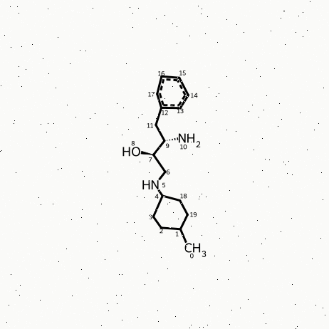 CC1CCC(NC[C@@H](O)[C@@H](N)Cc2ccccc2)CC1